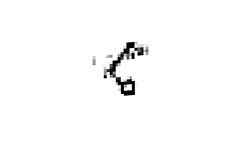 CC(CCc1cc[nH]n1)C(=O)OCc1ccccc1